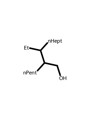 CCCCCCCC(CC)C(CO)CCCCC